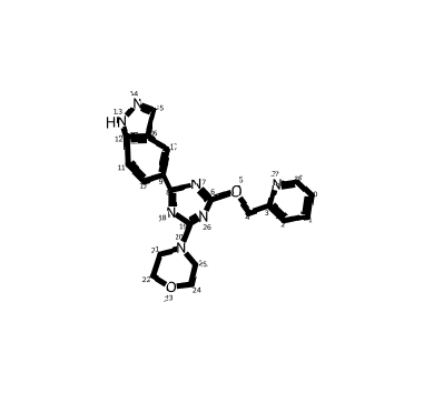 c1ccc(COc2nc(-c3ccc4[nH]ncc4c3)nc(N3CCOCC3)n2)nc1